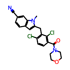 Cn1c(Cc2c(Cl)ccc(C(=O)N3CCOCC3)c2Cl)cc2ccc(C#N)cc21